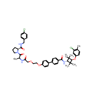 CC(C)(C)C(NC(=O)COCCOc1ccc(-c2ccc(C(=O)N[C@H]3C(C)(C)[C@H](Oc4ccc(C#N)c(Cl)c4)C3(C)C)cc2)cc1)C(=O)N1CCC[C@H]1C(=O)NCc1ccc(Cl)cc1